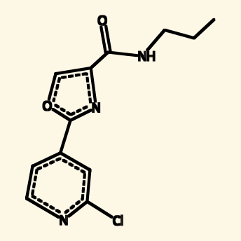 CCCNC(=O)c1coc(-c2ccnc(Cl)c2)n1